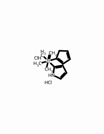 Cl.Cl.[CH2]=[Zr]([CH3])([CH3])([CH3])([C]1=CC=CC1)[c]1ccc[nH]1